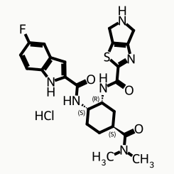 CN(C)C(=O)[C@H]1CC[C@H](NC(=O)c2cc3cc(F)ccc3[nH]2)[C@H](NC(=O)c2nc3c(s2)CNC3)C1.Cl